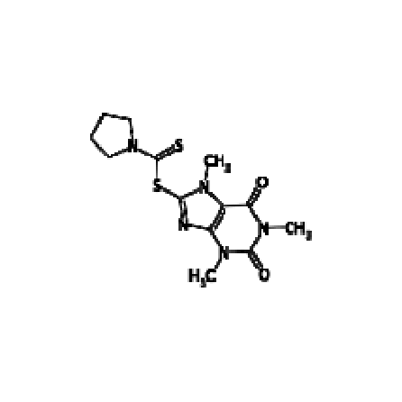 Cn1c(=O)c2c(nc(SC(=S)N3CCCC3)n2C)n(C)c1=O